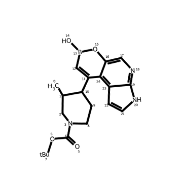 CC1CN(C(=O)OC(C)(C)C)CCC1C1=CB(O)Oc2cnc3[nH]ccc3c21